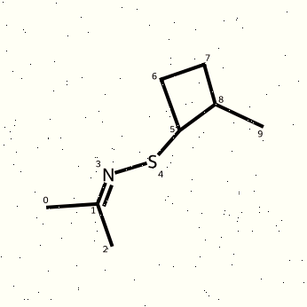 CC(C)=NSC1CCC1C